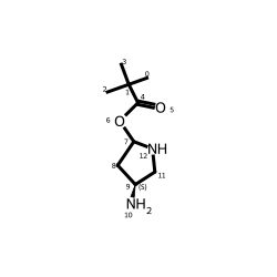 CC(C)(C)C(=O)OC1C[C@H](N)CN1